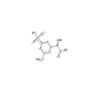 CCC(=O)C(=N)c1cc(C(=O)O)cc(S(=O)(=O)CC)c1